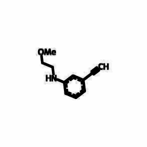 C#Cc1cccc(NCCOC)c1